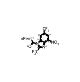 CCCCCC(=O)n1c(C(F)(F)F)nc2c([N+](=O)[O-])cc(C(F)(F)F)cc21